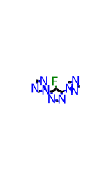 Fc1c(-n2cncn2)ncnc1-n1cncn1